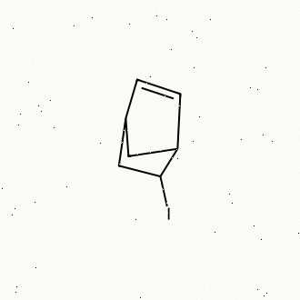 IC1CC2C=CC1C2